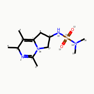 CC1=NC(C)C(C)=C2CC(NS(=O)(=O)N(C)C)CN12